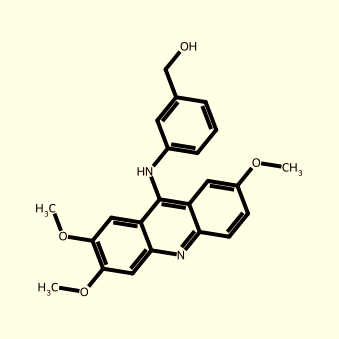 COc1ccc2nc3cc(OC)c(OC)cc3c(Nc3cccc(CO)c3)c2c1